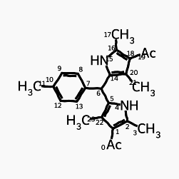 CC(=O)c1c(C)[nH]c(C(c2ccc(C)cc2)c2[nH]c(C)c(C(C)=O)c2C)c1C